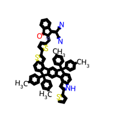 Cc1ccc(C2(c3ccc(C)cc3)c3cc4c(cc3-c3c2ccc2[nH]c(-c5cccs5)cc32)C(c2ccc(C)cc2)(c2ccc(C)cc2)c2ccc3sc(-c5ccc(/C=C6\C(=O)c7ccccc7C6=C(C#N)C#N)s5)cc3c2-4)cc1